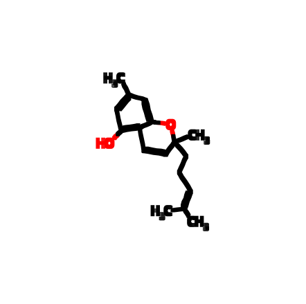 CC(C)=CCCC1(C)C=Cc2c(O)cc(C)cc2O1